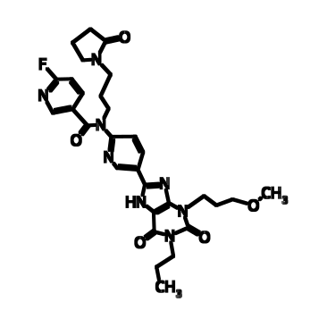 CCCn1c(=O)c2[nH]c(-c3ccc(N(CCCN4CCCC4=O)C(=O)c4ccc(F)nc4)nc3)nc2n(CCCOC)c1=O